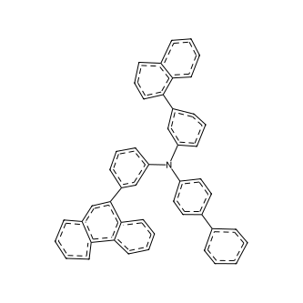 c1ccc(-c2ccc(N(c3cccc(-c4cccc5ccccc45)c3)c3cccc(-c4cc5ccccc5c5ccccc45)c3)cc2)cc1